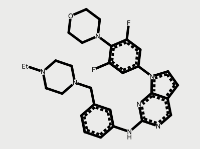 CCN1CCN(Cc2cccc(Nc3ncc4ccn(-c5cc(F)c(N6CCOCC6)c(F)c5)c4n3)c2)CC1